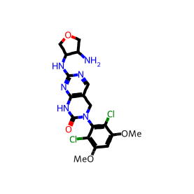 COc1cc(OC)c(Cl)c(N2Cc3cnc(NC4COCC4N)nc3NC2=O)c1Cl